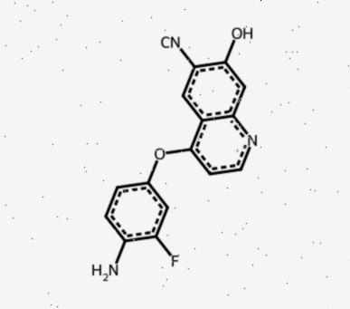 [C-]#[N+]c1cc2c(Oc3ccc(N)c(F)c3)ccnc2cc1O